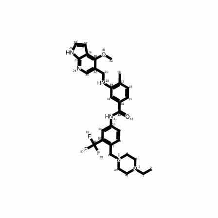 CCN1CCN(Cc2ccc(NC(=O)c3ccc(C)c(NCc4cnc5[nH]ccc5c4OC)c3)cc2C(F)(F)F)CC1